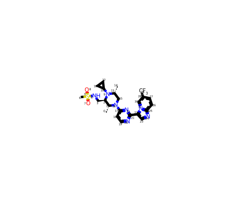 C[C@@H]1[C@@H](CNS(C)(=O)=O)N(C2CC2)[C@H](C)CN1c1ccnc(-c2cnc3ccc(C(F)(F)F)cn23)n1